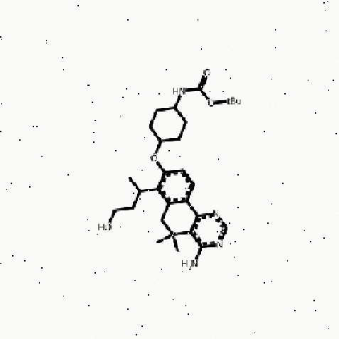 CC(CCO)c1c(OC2CCC(NC(=O)OC(C)(C)C)CC2)ccc2c1CC(C)(C)c1c(N)ncnc1-2